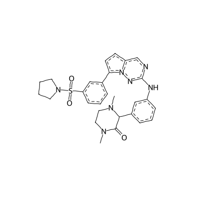 CN1CCN(C)C(c2cccc(Nc3ncc4ccc(-c5cccc(S(=O)(=O)N6CCCC6)c5)n4n3)c2)C1=O